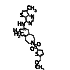 C=C1CCN(S(=O)(=O)c2ccc(COC)s2)CCC1C[C@H](C)Nc1ncnc2c(C)csc12